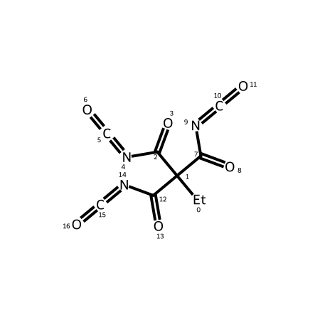 CCC(C(=O)N=C=O)(C(=O)N=C=O)C(=O)N=C=O